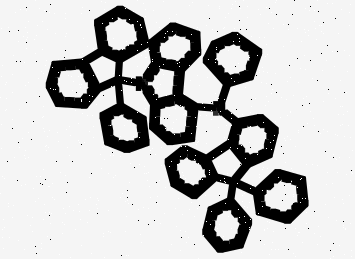 c1ccc(N(c2cccc3c2-c2ccccc2C3(c2ccccc2)c2ccccc2)c2cccc3c2c2ccccc2n3C2(c3ccccc3)c3ccccc3-c3ccccc32)cc1